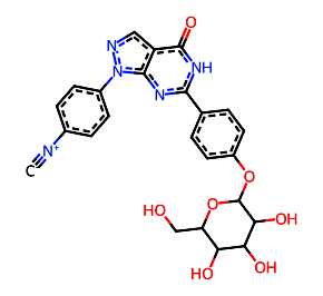 [C-]#[N+]c1ccc(-n2ncc3c(=O)[nH]c(-c4ccc(OC5OC(CO)C(O)C(O)C5O)cc4)nc32)cc1